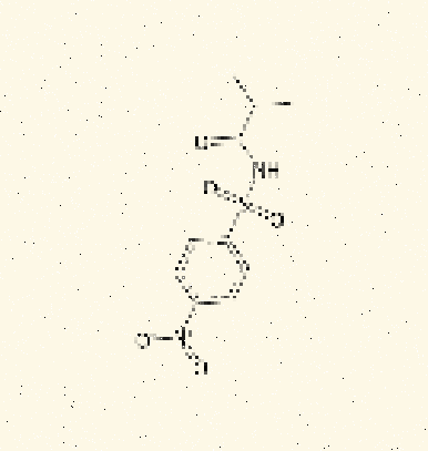 CC(C)C(=O)NS(=O)(=O)c1ccc([N+](=O)[O-])cc1